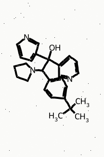 CC(C)(C)c1ccc(C(N2CCCC2)C(O)(c2cccnc2)c2cccnc2)cc1